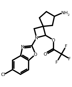 NC1CCC2(C1)CN(c1nc3cc(Cl)ccc3o1)C2OC(=O)C(F)(F)F